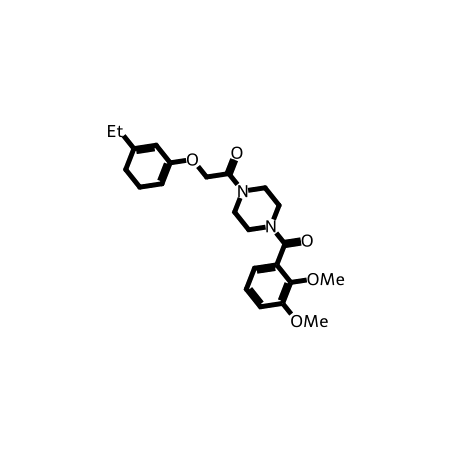 CCC1=CC(OCC(=O)N2CCN(C(=O)c3cccc(OC)c3OC)CC2)=CCC1